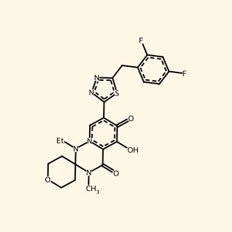 CCN1n2cc(-c3nnc(Cc4ccc(F)cc4F)s3)c(=O)c(O)c2C(=O)N(C)C12CCOCC2